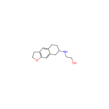 OCCNC1CCc2cc3c(cc2C1)OCC3